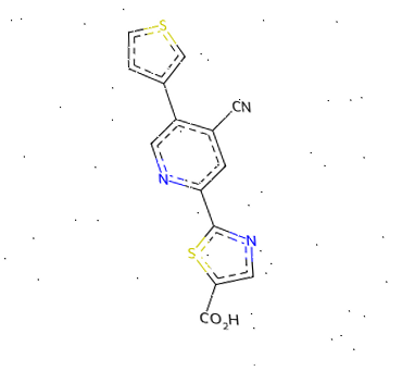 N#Cc1cc(-c2ncc(C(=O)O)s2)ncc1-c1ccsc1